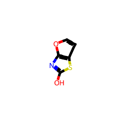 Oc1nc2occc2s1